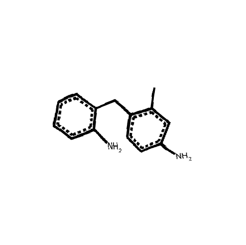 Cc1cc(N)ccc1Cc1ccccc1N